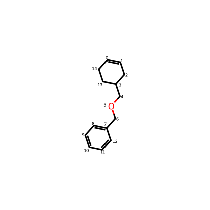 [C]1=CCC(COCc2ccccc2)CC1